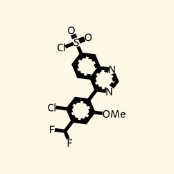 COc1cc(C(F)F)c(Cl)cc1-c1ncnc2cc(S(=O)(=O)Cl)ccc12